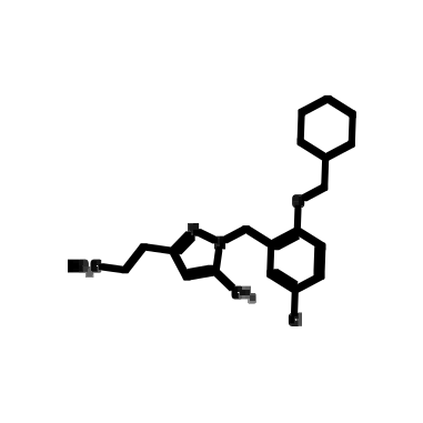 Cc1cc(CCC(=O)O)nn1Cc1cc(Cl)ccc1OCC1CCCCC1